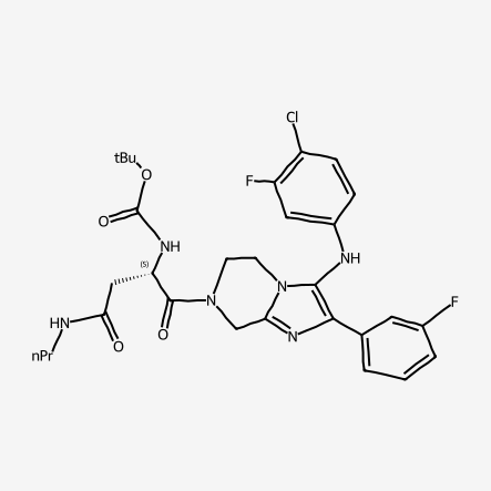 CCCNC(=O)C[C@H](NC(=O)OC(C)(C)C)C(=O)N1CCn2c(nc(-c3cccc(F)c3)c2Nc2ccc(Cl)c(F)c2)C1